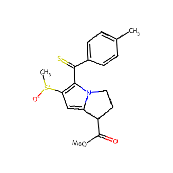 COC(=O)C1CCn2c1cc([S+](C)[O-])c2C(=S)c1ccc(C)cc1